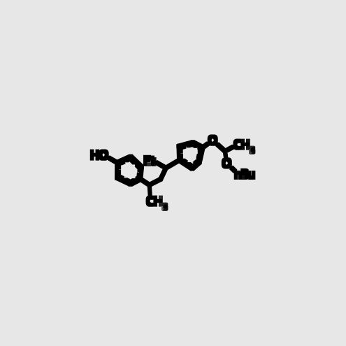 CCCCOC(C)Oc1ccc(C(CC)CC(C)c2ccc(O)cc2)cc1